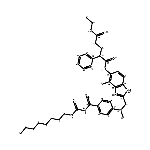 CCCCCCCCOC(=O)NC(=N)c1ccc(N(C)Cc2nc3c(C)c(OC(=O)N(CCC(=O)OCC)c4ccccn4)ccc3[nH]2)cc1